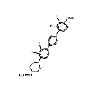 C=CC1COC(c2ccc(-c3ccc(-c4ccc(OC)c(F)c4F)cc3)c(F)c2F)OC1